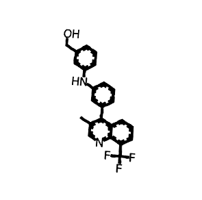 Cc1cnc2c(C(F)(F)F)cccc2c1-c1cccc(Nc2cccc(CO)c2)c1